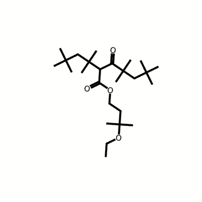 CCOC(C)(C)CCOC(=O)C(C(=O)C(C)(C)CC(C)(C)C)C(C)(C)CC(C)(C)C